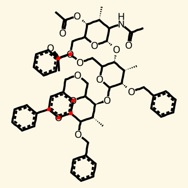 CC(=O)NC1[C@H](O[C@H]2C(COCc3ccccc3)OC(O[C@@H]3C(COCc4ccccc4)O[C@@H](OCc4ccccc4)C(OCc4ccccc4)[C@H]3C)[C@@H](OCc3ccccc3)[C@H]2C)OC(COC(C)=O)[C@H](OC(C)=O)[C@@H]1C